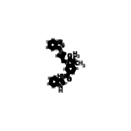 CC1(C)C(=O)N(CC2CN(c3noc4ccccc34)C2)c2cc(C(=O)Nc3c[nH]c4ccccc34)ccc21